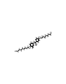 CCCCCCCCCOc1ccc(OC(=O)c2ccc(OCCCCCCCC)cc2)cc1F